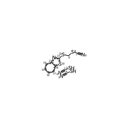 N#CS.N#CS.N#CSCSc1nc2ccccc2s1